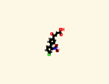 O=C(O)CCC(=O)c1ccc(-c2ccc(Cl)cc2[N+](=O)[O-])cc1